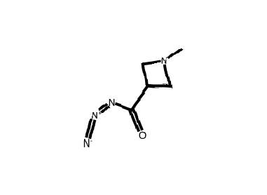 CN1CC(C(=O)N=[N+]=[N-])C1